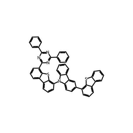 c1ccc(-c2nc(-c3ccccc3)nc(-c3cccc4c3sc3c(-n5c6ccccc6c6cc(-c7cccc8c7sc7ccccc78)ccc65)cccc34)n2)cc1